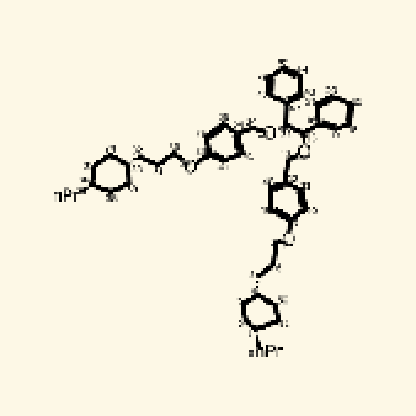 CCC[C@H]1CC[C@H](CCCOc2ccc(CO[C@H](c3ccccc3)[C@H](OCc3ccc(OCCC[C@H]4CC[C@H](CCC)CC4)cc3)c3ccccc3)cc2)CC1